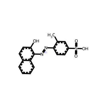 Cc1cc(S(=O)(=O)O)ccc1/N=N/c1c(O)ccc2ccccc12